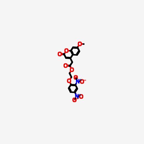 COc1ccc2c(CC(=O)OCCOc3ccc([N+](=O)[O-])cc3[N+](=O)[O-])cc(=O)oc2c1